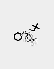 CC(C)(C)COP(=O)(ON1CCCCC1)OP(=O)(O)O